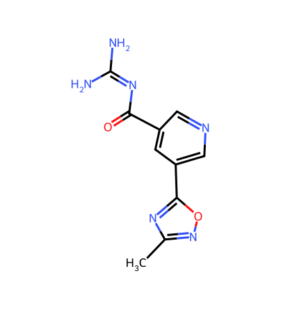 Cc1noc(-c2cncc(C(=O)N=C(N)N)c2)n1